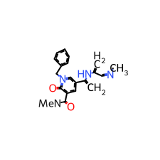 C=C(/C=N\C)NC(=C)c1cc(C(=O)NC)c(=O)n(Cc2ccccc2)c1